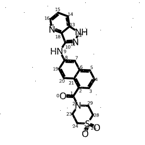 O=C(c1cccc2cc(Nc3n[nH]c4cccnc34)ccc12)N1CCS(=O)(=O)CC1